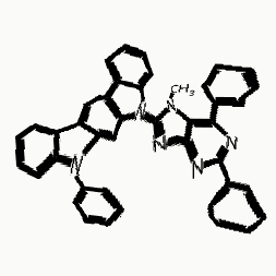 Cn1c(-n2c3ccccc3c3cc4c5ccccc5n(-c5ccccc5)c4cc32)nc2nc(-c3ccccc3)nc(-c3ccccc3)c21